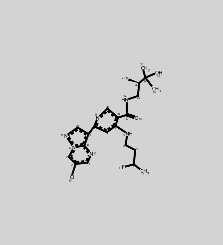 CC(F)CCNc1cc(-c2cnn3cc(Cl)cnc23)ncc1C(=O)NC[C@@H](F)C(C)(C)O